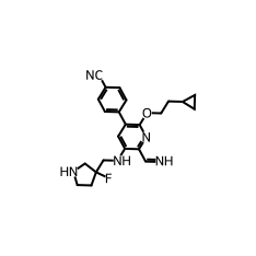 N#Cc1ccc(-c2cc(NCC3(F)CCNC3)c(C=N)nc2OCCC2CC2)cc1